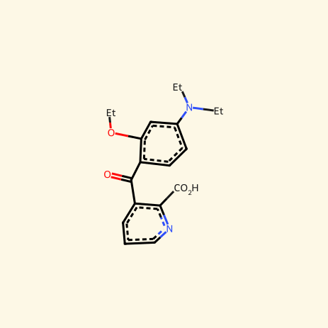 CCOc1cc(N(CC)CC)ccc1C(=O)c1cccnc1C(=O)O